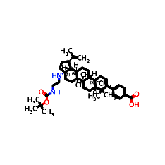 C=C(C)[C@@H]1CC[C@]2(NCCNC(=O)OC(C)(C)C)CC[C@]3(C)[C@H](CC[C@@H]4[C@@]5(C)CC=C(c6ccc(C(=O)O)cc6)C(C)(C)[C@@H]5CC[C@]43C)[C@@H]12